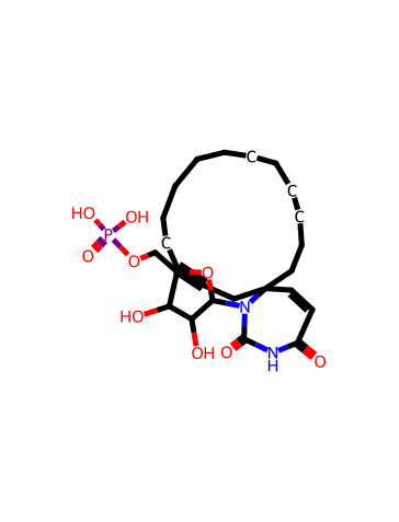 O=C1C=CC2(CC#CCCCCCCCCCCC2)N(C2OC(COP(=O)(O)O)C(O)C2O)C(=O)N1